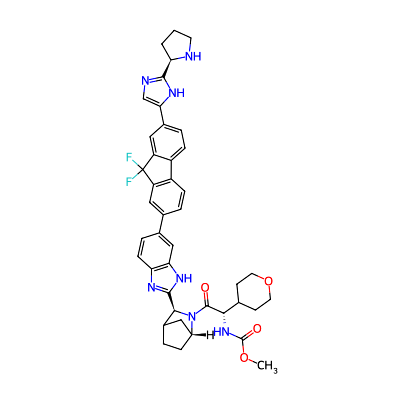 COC(=O)N[C@H](C(=O)N1[C@@H]2CCC(C2)[C@H]1c1nc2ccc(-c3ccc4c(c3)C(F)(F)c3cc(-c5cnc([C@H]6CCCN6)[nH]5)ccc3-4)cc2[nH]1)C1CCOCC1